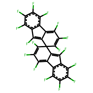 FC1=C2C(=C(F)c3c(F)c(F)c(F)c(F)c32)C2(C(F)=C1F)C(F)=C(F)C(F)=C1C2=C(F)c2c(F)c(F)c(F)c(F)c21